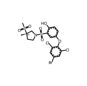 C[C@]1(S(C)(=O)=O)CCN(S(=O)(=O)c2cc(Oc3c(Cl)cc(Br)cc3Cl)ccc2O)C1